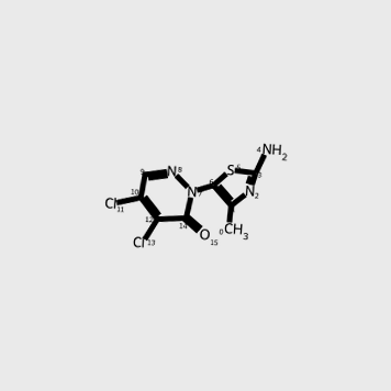 Cc1nc(N)sc1-n1ncc(Cl)c(Cl)c1=O